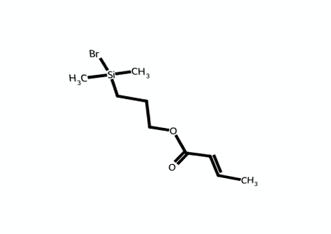 CC=CC(=O)OCCC[Si](C)(C)Br